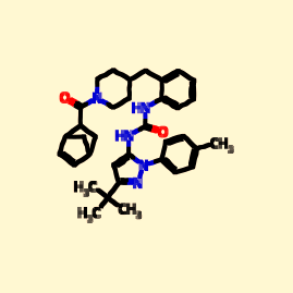 Cc1ccc(-n2nc(C(C)(C)C)cc2NC(=O)Nc2ccccc2CC2CCN(C(=O)C3CC4C=CC3C4)CC2)cc1